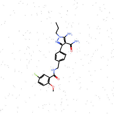 CCCn1nc(-c2ccc(CNC(=O)c3cc(F)ccc3OC)cc2)c(C(N)=O)c1N